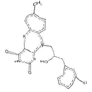 Cc1ccc2c(c1)nc1c(=O)[nH]c(=O)nc-1n2CC(O)Cc1cccc(Cl)c1